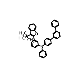 CC(C)(C)c1c(-c2cccc(N(c3ccccc3)c3ccc(-c4cccc(-c5ccccc5)c4)cc3)c2)oc2ccccc12